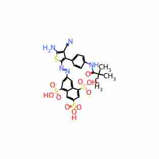 CC(C)(C)C(=O)Nc1ccc(-c2c(/N=N/c3cc(S(=O)(=O)O)c4cc(S(=O)(=O)O)cc(S(=O)(=O)O)c4c3)sc(N)c2C#N)cc1